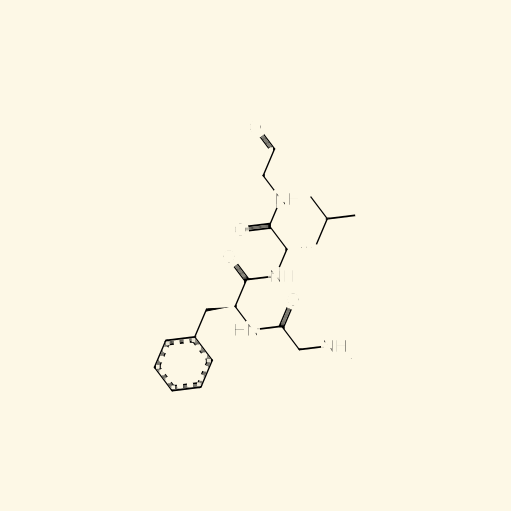 CC(C)C[C@H](NC(=O)[C@H](Cc1ccccc1)NC(=O)CN)C(=O)NCC=O